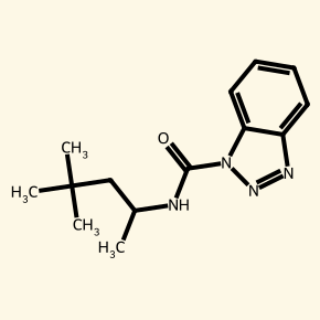 CC(CC(C)(C)C)NC(=O)n1nnc2ccccc21